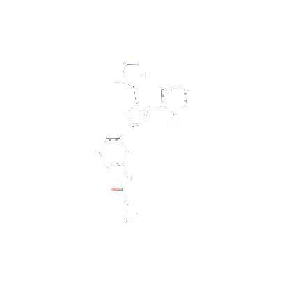 O=C(Nc1cc(-c2nc(C3=NNCN3)c(-c3ccccc3Cl)o2)ccn1)C1CC1